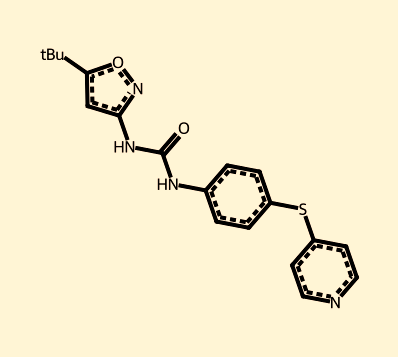 CC(C)(C)c1cc(NC(=O)Nc2ccc(Sc3ccncc3)cc2)no1